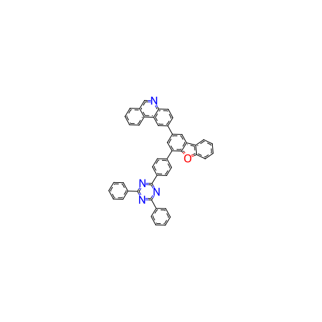 c1ccc(-c2nc(-c3ccccc3)nc(-c3ccc(-c4cc(-c5ccc6ncc7ccccc7c6c5)cc5c4oc4ccccc45)cc3)n2)cc1